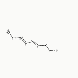 CCC/C=C/C=C/C[O]